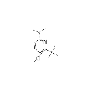 COc1ccc(C(C)C)nc1C(C)(C)C